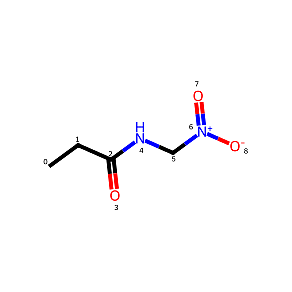 CCC(=O)NC[N+](=O)[O-]